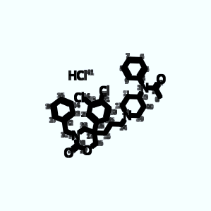 CC(=O)N(c1ccccc1)C1CCN(CCCC2(c3ccc(Cl)c(Cl)c3)COC(=O)N(Cc3ccccc3)C2)CC1.Cl